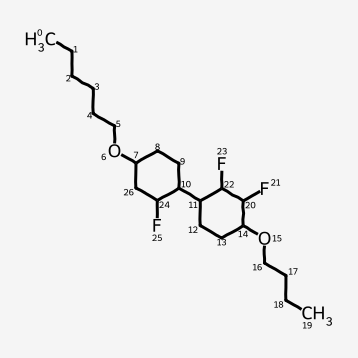 CCCCCCOC1CCC(C2CCC(OCCCC)C(F)C2F)C(F)C1